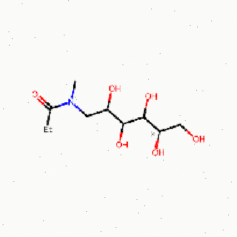 CCC(=O)N(C)CC(O)C(O)C(O)[C@H](O)CO